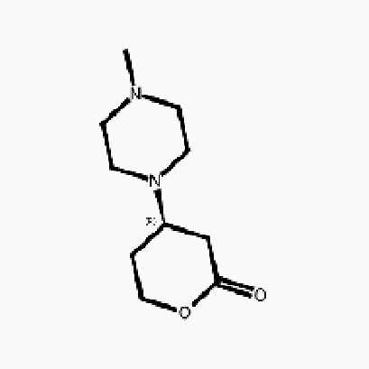 CN1CCN([C@@H]2CCOC(=O)C2)CC1